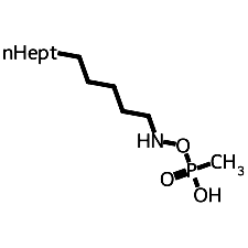 CCCCCCCCCCCCNOP(C)(=O)O